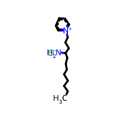 CCCCCCCCC(N)CCC[n+]1ccccc1.[Cl-]